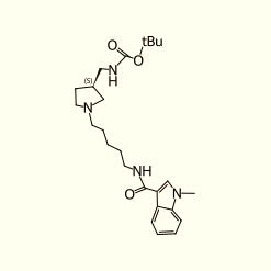 Cn1cc(C(=O)NCCCCCN2CC[C@@H](CNC(=O)OC(C)(C)C)C2)c2ccccc21